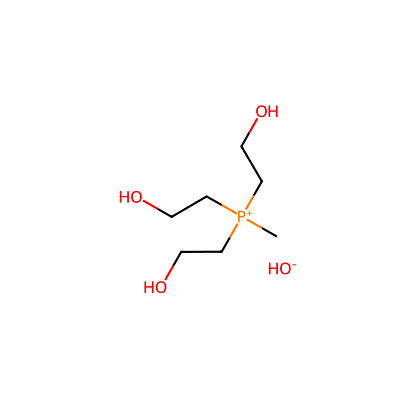 C[P+](CCO)(CCO)CCO.[OH-]